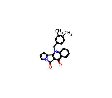 Cc1ccc(Cn2c3c(c(=O)c4ccccc42)C(=O)n2cccc2-3)cc1C